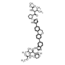 COC(=O)NC(C(=O)N1CCC[C@H]1c1ncc(-c2ccc3c(c2)COc2cc(-c4ccc5nc([C@@H]6[C@H]7CC[C@H](C7)N6C(=O)[C@@H](NC(=O)OC)C(C)C)[nH]c5c4)ccc2-3)[nH]1)C(C)C